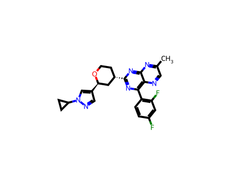 Cc1cnc2c(-c3ccc(F)cc3F)nc([C@H]3CCO[C@H](c4cnn(C5CC5)c4)C3)nc2n1